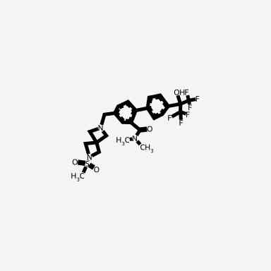 CN(C)C(=O)c1cc(CN2CC3(C2)CN(S(C)(=O)=O)C3)ccc1-c1ccc(C(O)(C(F)(F)F)C(F)(F)F)cc1